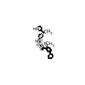 COc1ccc(C2CCCCC2)cc1-c1csc(NC(=O)NN2CCN(C(C)C3CCCNC3)CC2)n1